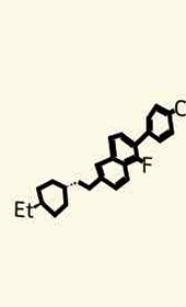 CC[C@H]1CC[C@H](CCc2ccc3c(F)c(-c4ccc(Cl)cc4)ccc3c2)CC1